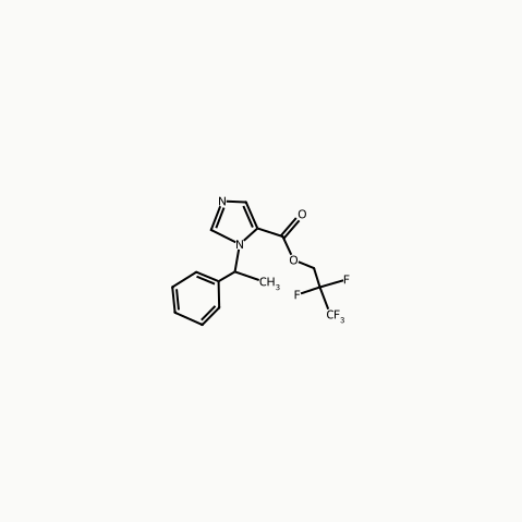 CC(c1ccccc1)n1cncc1C(=O)OCC(F)(F)C(F)(F)F